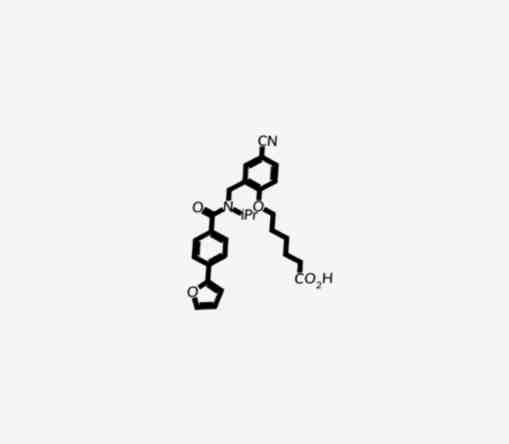 CC(C)N(Cc1cc(C#N)ccc1OCCCCCC(=O)O)C(=O)c1ccc(-c2ccco2)cc1